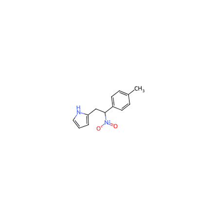 Cc1ccc(C(Cc2ccc[nH]2)[N+](=O)[O-])cc1